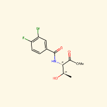 COC(=O)[C@@H](NC(=O)c1ccc(F)c(Br)c1)[C@@H](C)O